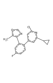 Cc1ocnc1-c1cc(F)ccc1-c1cc(Cl)nc(C2CC2)c1